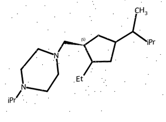 CCC1CC(C(C)C(C)C)C[C@@H]1CN1CCN(C(C)C)CC1